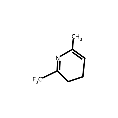 CC1=CCCC(C(F)(F)F)=N1